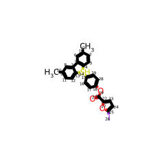 Cc1ccc2c(c1)-c1cc(C)ccc1[SH]2c1ccc(OC(=O)c2ccc(I)o2)cc1